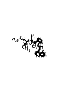 CCCC(CCC)CONC(=O)c1ccccc1NCc1ccnc2ccccc12